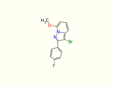 COc1cccc2c(Br)c(-c3ccc(F)cc3)nn12